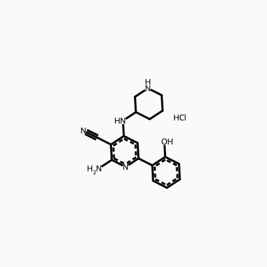 Cl.N#Cc1c(NC2CCCNC2)cc(-c2ccccc2O)nc1N